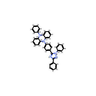 c1ccc(-c2nc(-c3ccc(N4c5ccccc5N(c5ccccc5)c5ccccc54)cc3)n(-c3ccccc3)n2)cc1